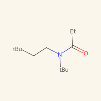 CCC(=O)N(CCC(C)(C)C)C(C)(C)C